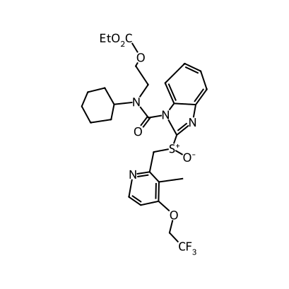 CCOC(=O)OCCN(C(=O)n1c([S+]([O-])Cc2nccc(OCC(F)(F)F)c2C)nc2ccccc21)C1CCCCC1